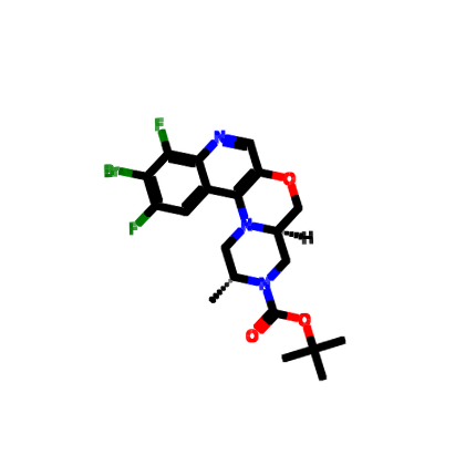 C[C@@H]1CN2c3c(cnc4c(F)c(Br)c(F)cc34)OC[C@H]2CN1C(=O)OC(C)(C)C